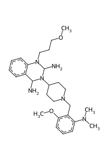 COCCCN1c2ccccc2C(N)N(C2CCN(Cc3c(OC)cccc3N(C)C)CC2)C1N